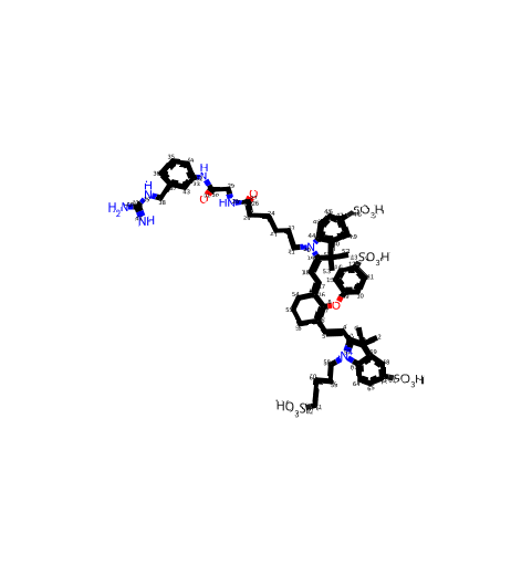 CC1(C)C(/C=C/C2=C(Oc3ccc(S(=O)(=O)O)cc3)C(=C/C=C3/N(CCCCCC(=O)NCC(=O)Nc4cccc(CNC(=N)N)c4)c4ccc(S(=O)(=O)O)cc4C3(C)C)/CCC2)=[N+](CCCCS(=O)(=O)O)c2ccc(S(=O)(=O)O)cc21